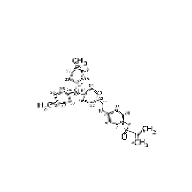 C=C(C)C(=O)Cc1ccc(CCc2ccc(N(c3ccc(C)cc3)c3ccc(C)cc3)cc2)cc1